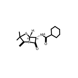 C=C1N2C(=O)[C@@H](NC(=O)C3CCCCC3)[C@H]2SC1(C)C